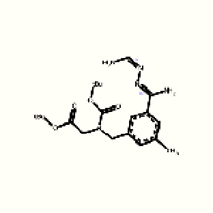 Cc1cc(CN(CC(=O)OC(C)(C)C)C(=O)OC(C)(C)C)cc(/C(N)=N/N=C\N)c1